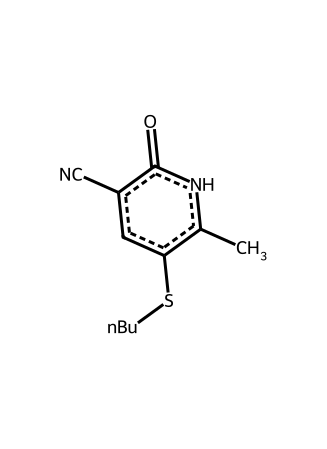 CCCCSc1cc(C#N)c(=O)[nH]c1C